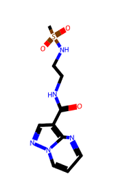 CS(=O)(=O)NCCNC(=O)c1cnn2cccnc12